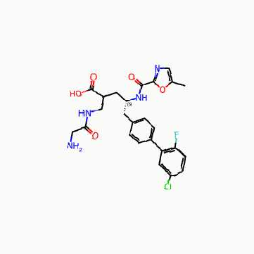 Cc1cnc(C(=O)N[C@H](Cc2ccc(-c3cc(Cl)ccc3F)cc2)CC(CNC(=O)CN)C(=O)O)o1